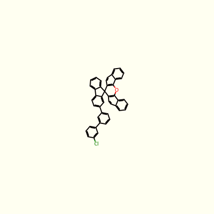 Clc1cccc(-c2cccc(-c3ccc4c(c3)C3(c5ccccc5-4)c4ccc5ccccc5c4Oc4c3ccc3ccccc43)c2)c1